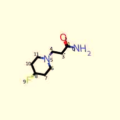 NC(=O)[CH]CN1CCC(F)CC1